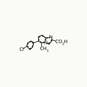 Cc1c(-c2ccc(Cl)cc2)ccc2nc(C(=O)O)cn12